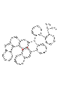 CC1(C)c2ccccc2-c2c(N(c3ccc4c(ccc5oc6ccccc6c54)c3)c3ccccc3-c3ccc4ccccc4c3)cccc21